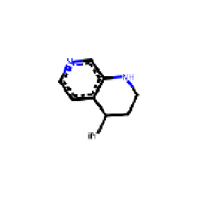 CC(C)C1CCNc2cnccc21